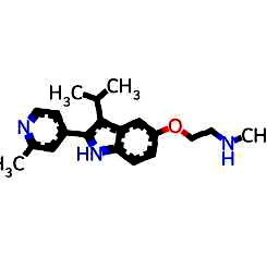 CNCCOc1ccc2[nH]c(-c3ccnc(C)c3)c(C(C)C)c2c1